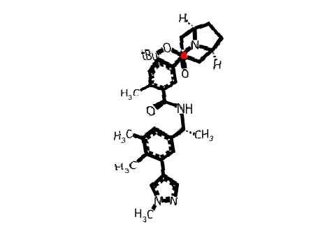 Cc1ccc(N2C[C@H]3CC[C@@H](C2)N3C(=O)OC(C)(C)C)cc1C(=O)N[C@H](C)c1cc(C)c(C)c(-c2cnn(C)c2)c1